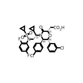 O=C(O)C[C@@H]1O[C@H](c2cccc(Cl)c2)[C@@H](c2ccc(Cl)cc2)N([C@H](CN(c2cc(F)ccc2F)S(=O)(=O)C2CC2)C2CC2)C1=O